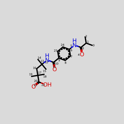 CC(C)C(=O)Nc1ccc(C(=O)NC(C)(C)CC(C)(C)C(=O)O)cc1